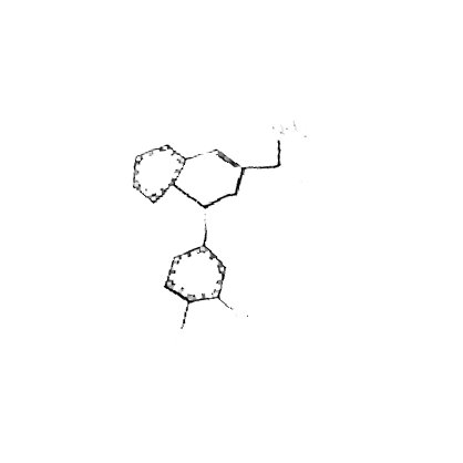 C[C@@H](N)C1=Cc2ccccc2[C@H](c2ccc(Cl)c(Cl)c2)C1